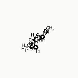 COc1cc(N2C=NN(C)CC2)ccc1Nc1ncc(Cl)c(Nc2ccc(Cl)cc2S(=O)(=O)C(C)C)n1